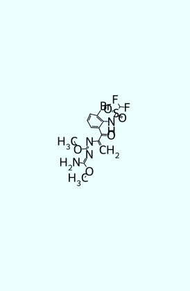 C=C(/N=C(\N=C(/N)OC)OC)C(=O)c1cccc(Br)c1NS(=O)(=O)C(F)F